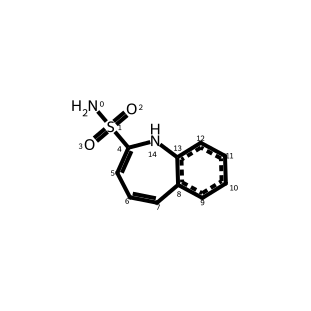 NS(=O)(=O)C1=CC=Cc2ccccc2N1